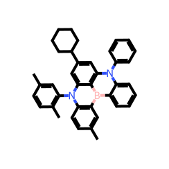 Cc1ccc2c(c1)B1c3ccccc3N(c3ccccc3)c3cc(C4CCCCC4)cc(c31)N2c1cc(C)ccc1C